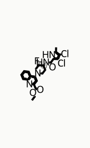 CCOC(=O)c1cc(N2CC[C@@H](NC(=O)c3[nH]c(C)c(Cl)c3Cl)[C@@H](F)C2)c2ccccc2n1